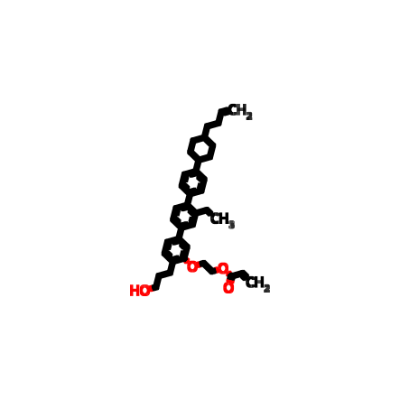 C=CCCC1CCC(c2ccc(-c3ccc(-c4ccc(CCCO)c(OCCOC(=O)C=C)c4)cc3CC)cc2)CC1